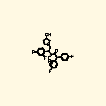 CN(C(=O)C(c1ccc(F)cc1)c1ccc(F)cc1)[C@H](CN1CC[C@H](O)C1)c1ccc(F)cc1F